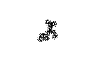 c1ccc(-c2cccc(N(c3ccc(-c4cc5ccc6ccccc6c5c5ccccc45)cc3)c3ccc4c(c3)c3ccccc3n4-c3ccccc3)c2)cc1